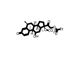 CCOC(=O)O[C@]1(C(=O)COC(=O)CC)CC[C@H]2[C@@H]3C[C@H](C)C4=CC(=O)C=C[C@]4(C)[C@H]3C(O)C[C@@]21C